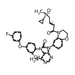 Cc1cc(Oc2cccc(F)c2)ccc1-n1c(=O)n(-c2ccc3c(c2)N(C(=O)/C=C/C[N+](C)([O-])C2CC2)CCO3)c2ncnc(N)c21